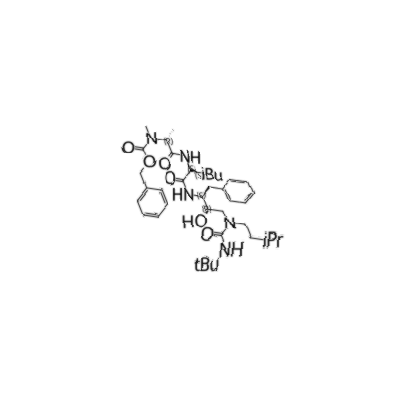 CC[C@H](C)[C@H](NC(=O)[C@@H](C)N(C)C(=O)OCc1ccccc1)C(=O)N[C@@H](Cc1ccccc1)[C@H](O)CN(CCC(C)C)C(=O)NC(C)(C)C